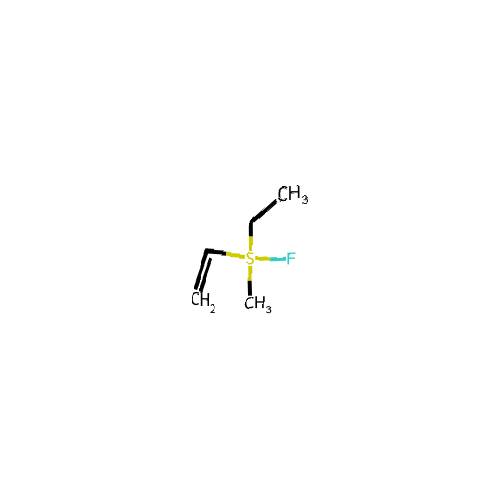 C=CS(C)(F)CC